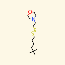 CC(C)(C)CCCCSSCCN1CCOCC1